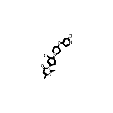 Cc1cc(=O)n(-c2ccc(N3CCC(Oc4ccnc(Cl)c4)CC3)c(Cl)c2)c(C)n1